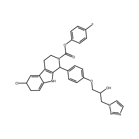 O=C(Oc1ccc(F)cc1)N1CCc2c([nH]c3c2=CC(Cl)CC=3)C1c1ccc(OCC(O)Cn2ccnn2)cc1